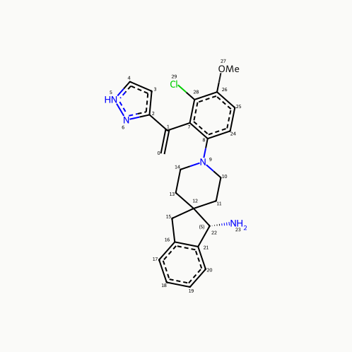 C=C(c1cc[nH]n1)c1c(N2CCC3(CC2)Cc2ccccc2[C@H]3N)ccc(OC)c1Cl